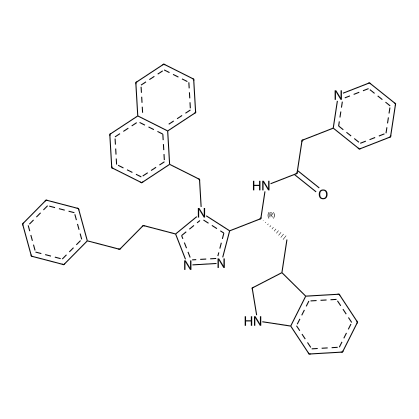 O=C(Cc1ccccn1)N[C@H](CC1CNc2ccccc21)c1nnc(CCc2ccccc2)n1Cc1cccc2ccccc12